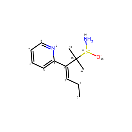 CC/C=C(/c1ccccn1)C(C)(C)[S+](N)[O-]